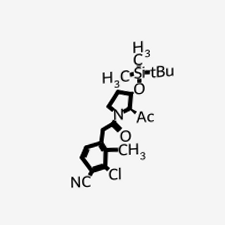 CC(=O)[C@@H]1[C@@H](O[Si](C)(C)C(C)(C)C)CCN1C(=O)Cc1ccc(C#N)c(Cl)c1C